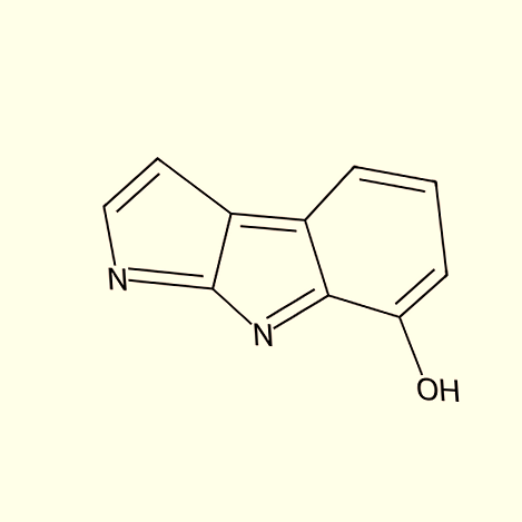 Oc1cccc2c1=NC1=NC=CC=21